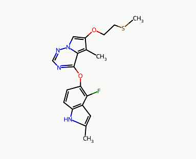 CSCCOc1cn2ncnc(Oc3ccc4[nH]c(C)cc4c3F)c2c1C